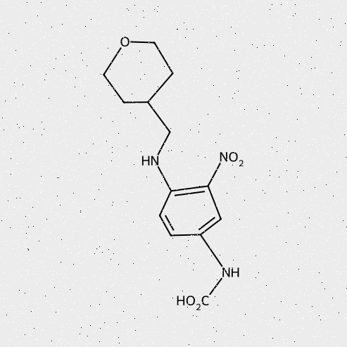 O=C(O)Nc1ccc(NCC2CCOCC2)c([N+](=O)[O-])c1